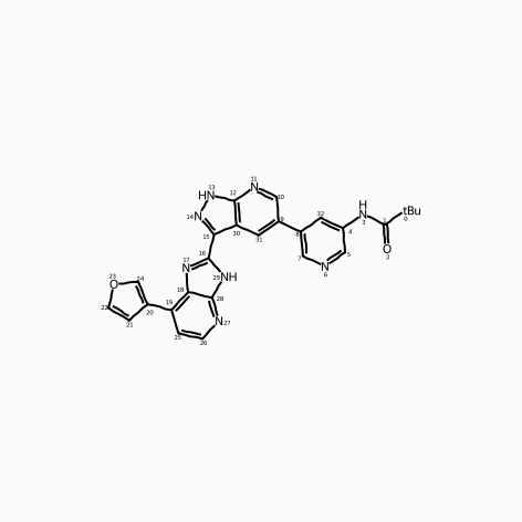 CC(C)(C)C(=O)Nc1cncc(-c2cnc3[nH]nc(-c4nc5c(-c6ccoc6)ccnc5[nH]4)c3c2)c1